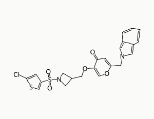 O=c1cc(Cn2cc3ccccc3c2)occ1OCC1CN(S(=O)(=O)c2csc(Cl)c2)C1